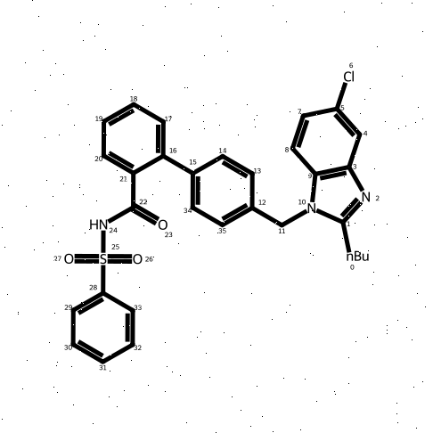 CCCCc1nc2cc(Cl)ccc2n1Cc1ccc(-c2ccccc2C(=O)NS(=O)(=O)c2ccccc2)cc1